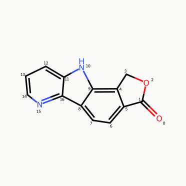 O=C1OCc2c1ccc1c2[nH]c2cccnc21